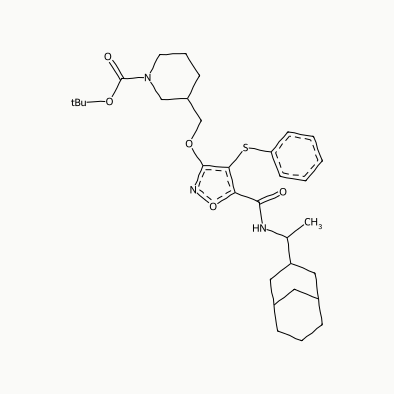 CC(NC(=O)c1onc(OCC2CCCN(C(=O)OC(C)(C)C)C2)c1Sc1ccccc1)C1CC2CCCC(C2)C1